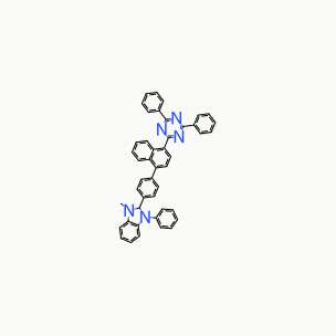 CN1c2ccccc2N(c2ccccc2)C1c1ccc(-c2ccc(-c3nc(-c4ccccc4)nc(-c4ccccc4)n3)c3ccccc23)cc1